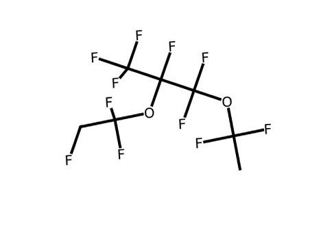 CC(F)(F)OC(F)(F)C(F)(OC(F)(F)CF)C(F)(F)F